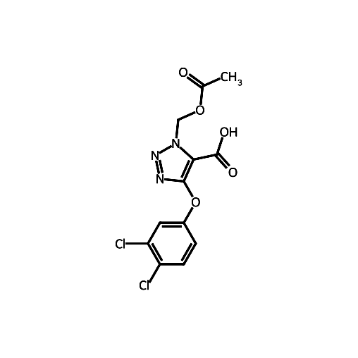 CC(=O)OCn1nnc(Oc2ccc(Cl)c(Cl)c2)c1C(=O)O